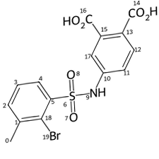 Cc1cccc(S(=O)(=O)Nc2ccc(C(=O)O)c(C(=O)O)c2)c1Br